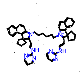 C(=CC1=[N+](CCCCCC[N+]2=C(C=CNc3ncccn3)C3(CCCC3)c3c2ccc2ccccc32)c2ccc3ccccc3c2C12CCCC2)Nc1ncccn1